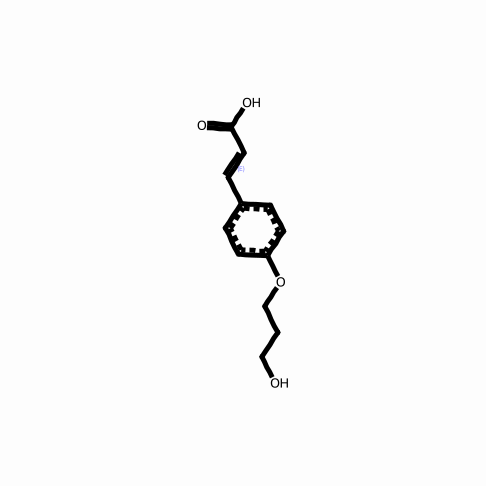 O=C(O)/C=C/c1ccc(OCCCO)cc1